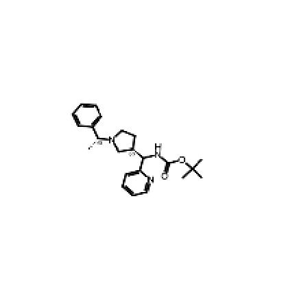 C[C@H](c1ccccc1)N1CC[C@@H](C(NC(=O)OC(C)(C)C)c2ccccn2)C1